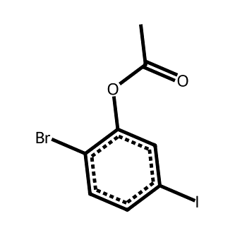 CC(=O)Oc1cc(I)ccc1Br